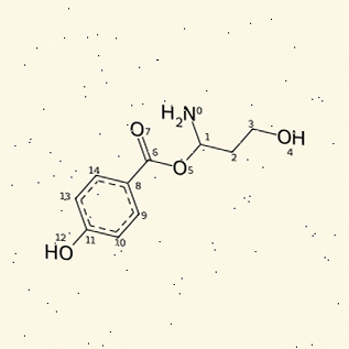 NC(CCO)OC(=O)c1ccc(O)cc1